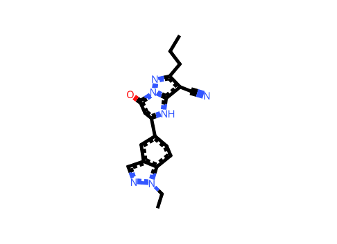 CCCc1nn2c(=O)cc(-c3ccc4c(cnn4CC)c3)[nH]c2c1C#N